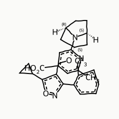 Cc1cc(C(=O)O)cc(N2[C@@H]3CC[C@H]2C[C@H](OCc2c(-c4ccccc4C(F)(F)F)noc2C2CC2)C3)n1